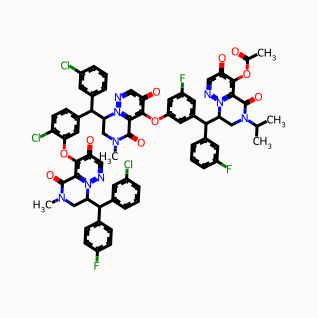 CC(=O)Oc1c2n(ncc1=O)C(C(c1cccc(F)c1)c1cc(F)cc(Oc3c4n(ncc3=O)C(C(c3cccc(Cl)c3)c3ccc(Cl)c(Oc5c6n(ncc5=O)C(C(c5ccc(F)cc5)c5cccc(Cl)c5)CN(C)C6=O)c3)CN(C)C4=O)c1)CN(C(C)C)C2=O